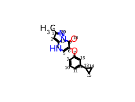 Cc1cc2[nH]cc(Oc3cccc(C4CC4)c3)c(=O)n2n1